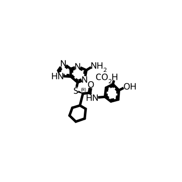 Nc1nc(S[C@@H](C(=O)Nc2ccc(O)c(C(=O)O)c2)C2CCCCC2)c2[nH]cnc2n1